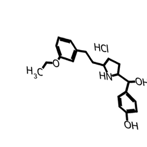 CCOc1cccc(CCC2CCC(C(O)c3ccc(O)cc3)N2)c1.Cl